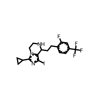 Fc1cc(C(F)(F)F)ccc1CCC1NCCn2c(C3CC3)nc(I)c21